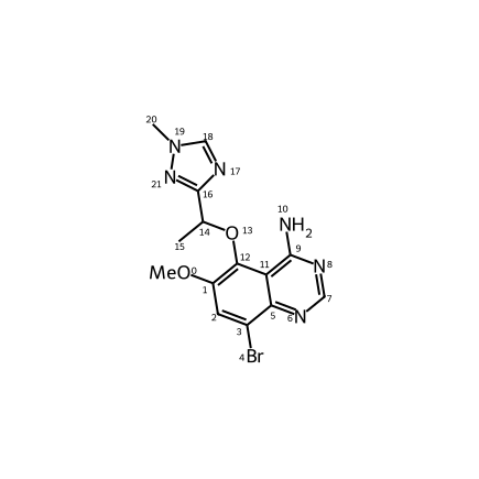 COc1cc(Br)c2ncnc(N)c2c1OC(C)c1ncn(C)n1